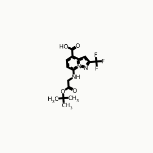 CC(C)(C)OC(=O)CNc1ccc(C(=O)O)c2cc(C(F)(F)F)nn12